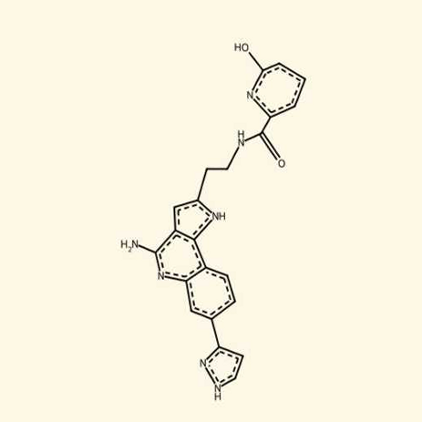 Nc1nc2cc(-c3cc[nH]n3)ccc2c2[nH]c(CCNC(=O)c3cccc(O)n3)cc12